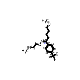 CNCCO/N=C(/CCCCOC)c1ccc(C(F)(F)F)cc1